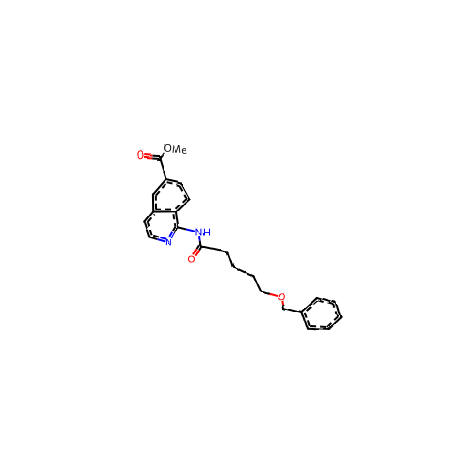 COC(=O)c1ccc2c(NC(=O)CCCCOCc3ccccc3)nccc2c1